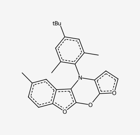 Cc1ccc2oc3c(c2c1)N(c1c(C)cc(C(C)(C)C)cc1C)c1ccoc1O3